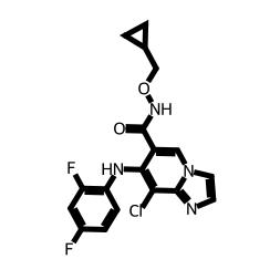 O=C(NOCC1CC1)c1cn2ccnc2c(Cl)c1Nc1ccc(F)cc1F